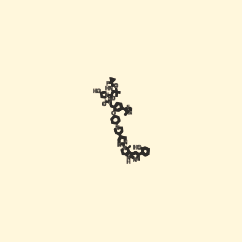 Cc1ncsc1-c1ccc(CNC(=O)[C@@H]2C[C@@H](O)CN2C(=O)[C@@H](NC(=O)C2(F)CC2)C(C)(C)C)c(O[C@H]2CC[C@@H](N3CCC(c4cnc(N5CCc6[nH]c7nnc(-c8ccccc8O)cc7c6[C@@H]5C)nc4)CC3)CC2)c1